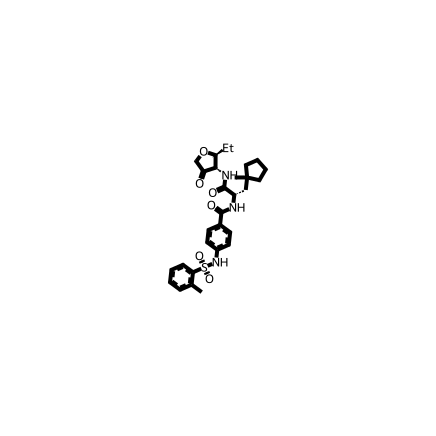 CC[C@@H]1OCC(=O)[C@H]1NC(=O)[C@H](CC1(C)CCCC1)NC(=O)c1ccc(NS(=O)(=O)c2ccccc2C)cc1